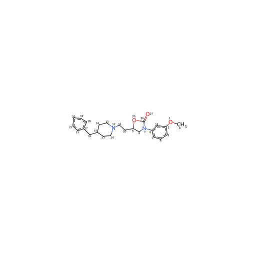 COc1cccc(N2CC(CCN3CCC(Cc4ccccc4)CC3)OC2=O)c1